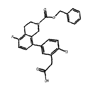 O=C(O)Cc1cc(-c2ccc(F)c3c2CN(C(=O)OCc2ccccc2)CC3)ccc1Cl